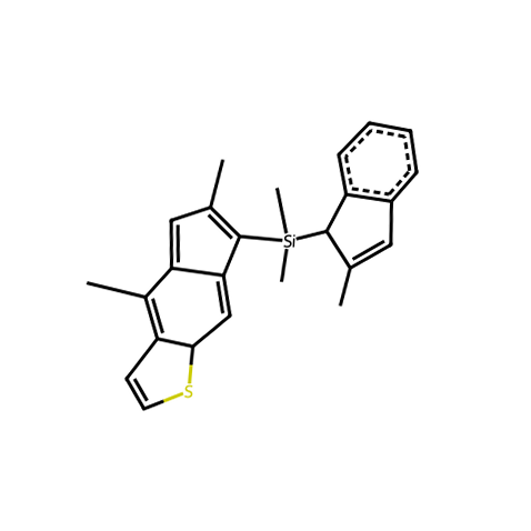 CC1=Cc2ccccc2C1[Si](C)(C)C1=C(C)C=C2C1=CC1SC=CC1=C2C